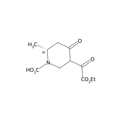 CCOC(=O)C(=O)C1CN(C(=O)O)[C@H](C)CC1=O